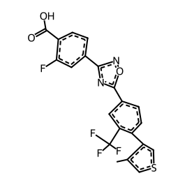 Cc1cscc1-c1ccc(-c2nc(-c3ccc(C(=O)O)c(F)c3)no2)cc1C(F)(F)F